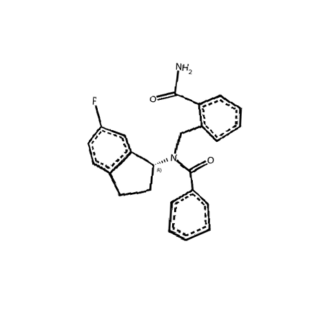 NC(=O)c1ccccc1CN(C(=O)c1ccccc1)[C@@H]1CCc2ccc(F)cc21